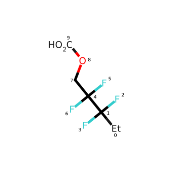 CCC(F)(F)C(F)(F)COC(=O)O